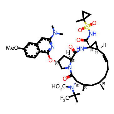 COc1ccc2c(O[C@@H]3C[C@H]4C(=O)N[C@]5(C(=O)NS(=O)(=O)C6(C)CC6)C[C@H]5C=CCC[C@@H](C)C[C@@H](C)[C@H](N(C(=O)O)C(C)(C)C(F)(F)F)C(=O)N4C3)nc(N(C)C)cc2c1